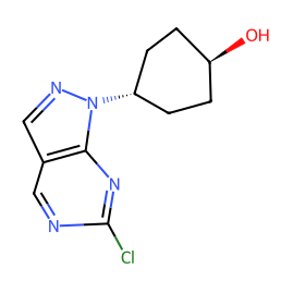 O[C@H]1CC[C@H](n2ncc3cnc(Cl)nc32)CC1